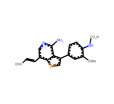 COc1cc(-c2csc3c(/C=C/C=O)cnc(N)c23)ccc1NC(=O)O